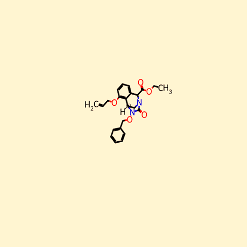 C=CCOc1cccc2c1[C@H]1CN(C(=O)N1OCc1ccccc1)C2C(=O)OCC